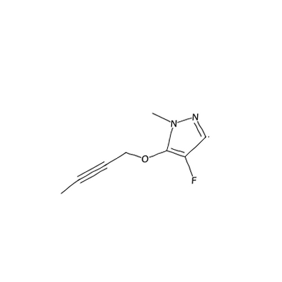 CC#CCOc1c(F)[c]nn1C